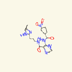 Cc1c[nH]c(CCCNC(=O)c2nccnc2NC(=O)c2ccc([N+](=O)[O-])cc2)n1